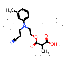 Cc1cccc(N(CCC#N)CCOC(=O)C(C)C(=O)O)c1